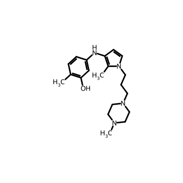 Cc1ccc(Nc2ccn(CCCN3CCN(C)CC3)c2C)cc1O